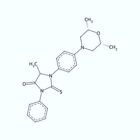 CC1C(=O)N(c2ccccc2)C(=S)N1c1ccc(N2C[C@@H](C)O[C@@H](C)C2)cc1